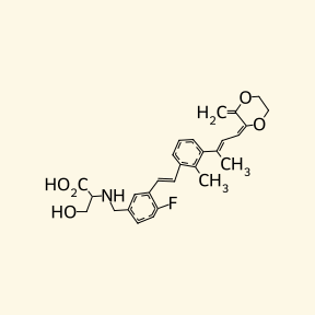 C=C1OCCO/C1=C/C=C(\C)c1cccc(/C=C/c2cc(CNC(CO)C(=O)O)ccc2F)c1C